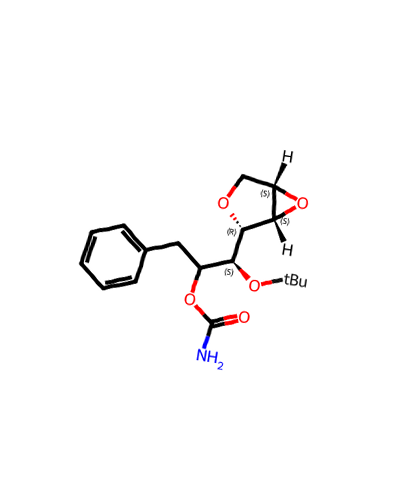 CC(C)(C)O[C@@H](C(Cc1ccccc1)OC(N)=O)[C@@H]1OC[C@@H]2O[C@H]12